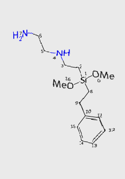 CO[Si](CCNCCN)(CCc1ccccc1)OC